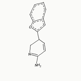 NC1=NCC(c2cc3ccccc3o2)C=C1